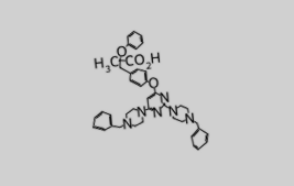 CC(Cc1ccc(Oc2cc(N3CCN(Cc4ccccc4)CC3)nc(N3CCN(Cc4ccccc4)CC3)n2)cc1)(Oc1ccccc1)C(=O)O